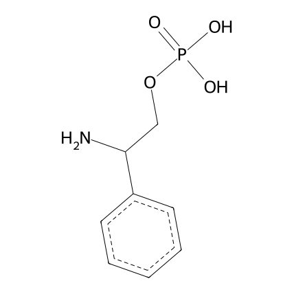 NC(COP(=O)(O)O)c1ccccc1